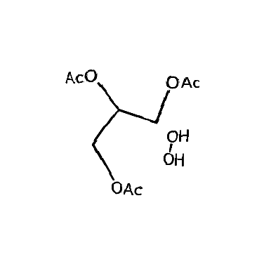 CC(=O)OCC(COC(C)=O)OC(C)=O.OO